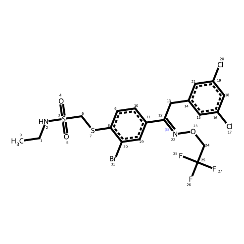 CCNS(=O)(=O)CSc1ccc(/C(Cc2cc(Cl)cc(Cl)c2)=N/OCC(F)(F)F)cc1Br